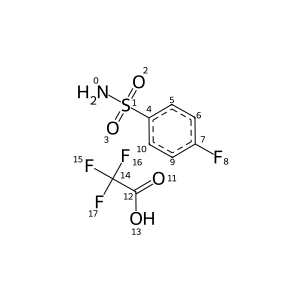 NS(=O)(=O)c1ccc(F)cc1.O=C(O)C(F)(F)F